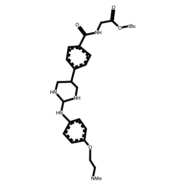 CNCCOc1ccc(NC2NCC(c3ccc(C(=O)NCC(=O)OC(C)(C)C)cc3)CN2)cc1